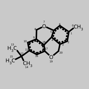 Cc1cc2c3c(c1)OCc1cc(C(C)(C)C)cc(c1-3)OC2